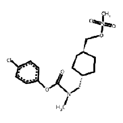 CN(C[C@H]1CC[C@H](COS(C)(=O)=O)CC1)C(=O)Oc1ccc(Cl)cc1